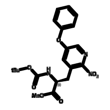 COC(=O)[C@H](Cc1cc(Oc2ccccc2)cnc1[N+](=O)[O-])NC(=O)OC(C)(C)C